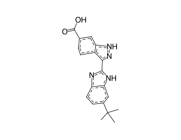 CC(C)(C)c1ccc2nc(-c3n[nH]c4cc(C(=O)O)ccc34)[nH]c2c1